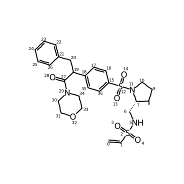 C=CS(=O)(=O)NC[C@H]1CCCN1S(=O)(=O)c1ccc(C(Cc2ccccc2)C(=O)N2CCOCC2)cc1